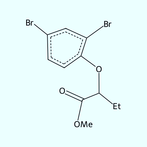 CCC(Oc1ccc(Br)cc1Br)C(=O)OC